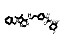 Cc1c(C)n(Cc2ccccc2)c2ncnc(NCCc3ccc(NC(=O)Nc4ccc(F)cc4F)cc3)c12